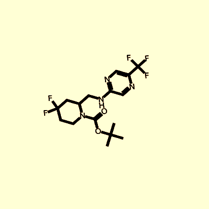 CC(C)(C)OC(=O)N1CCC(F)(F)CC1CNc1cnc(C(F)(F)F)cn1